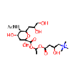 CC(=O)N[C@H]1C(C[C@H](O)CO)O[C@@](O)(C(=O)OC(C)OC(=O)CC(O)C[N+](C)(C)C)C[C@H]1O